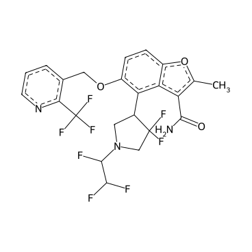 Cc1oc2ccc(OCc3cccnc3C(F)(F)F)c(C3CN(C(F)C(F)F)CC3(F)F)c2c1C(N)=O